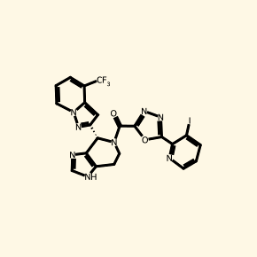 O=C(c1nnc(-c2ncccc2I)o1)N1CCc2[nH]cnc2[C@@H]1c1cc2c(C(F)(F)F)cccn2n1